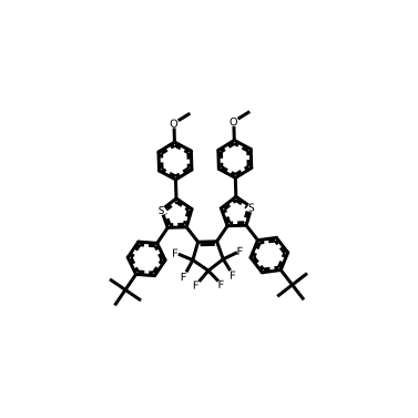 COc1ccc(-c2cc(C3=C(c4cc(-c5ccc(OC)cc5)sc4-c4ccc(C(C)(C)C)cc4)C(F)(F)C(F)(F)C3(F)F)c(-c3ccc(C(C)(C)C)cc3)s2)cc1